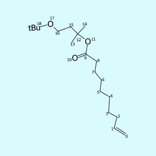 C=CCCCCCCCC(=O)OC(C)(C)CCOC(C)(C)C